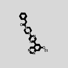 CCOc1cc(-c2cnc(N3CCN(C(=O)Cc4ccccc4)CC3)cn2)c2cncnc2c1